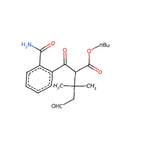 CCCCOC(=O)C(C(=O)c1ccccc1C(N)=O)C(C)(C)CC=O